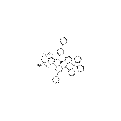 CC1(C)CCC(C)(C)c2cc3c(cc21)-c1cc(-c2ccccc2)cc2c1B(c1cccc4c1N2c1ccccc1C4(c1ccccc1)c1ccccc1)N3c1ccc(-c2ccccc2)cc1